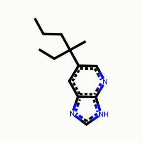 CCCC(C)(CC)c1cnc2[nH]cnc2c1